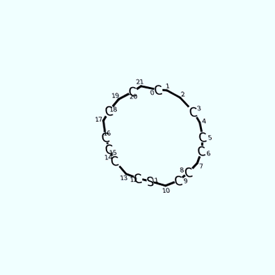 C1CCCCCCCCCCSCCCCCCCCCC1